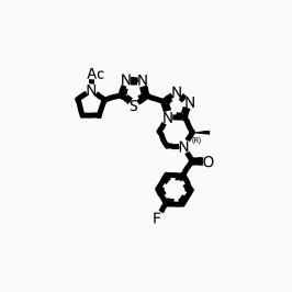 CC(=O)N1CCCC1c1nnc(-c2nnc3n2CCN(C(=O)c2ccc(F)cc2)[C@@H]3C)s1